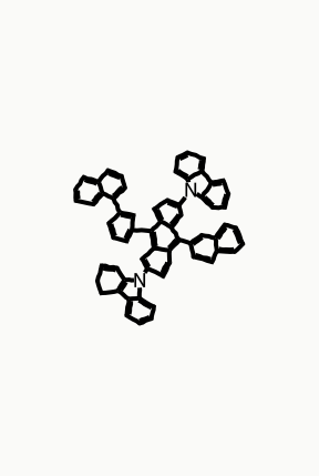 C1=Cc2c(c3ccccc3n2-c2ccc3c(-c4ccc5ccccc5c4)c4cc(-n5c6ccccc6c6ccccc65)ccc4c(-c4cccc(-c5cccc6ccccc56)c4)c3c2)CC1